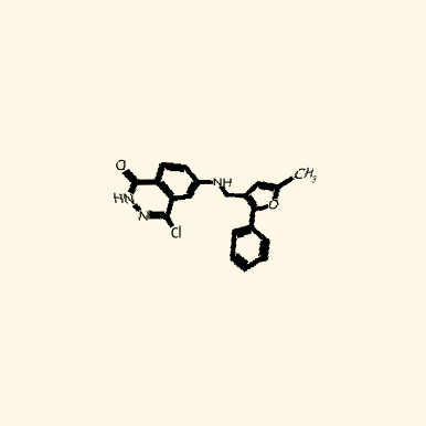 Cc1cc(CNc2ccc3c(=O)[nH]nc(Cl)c3c2)c(-c2ccccc2)o1